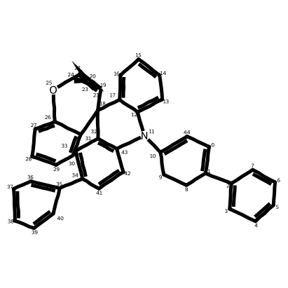 C1=C(c2ccccc2)CCC(N2c3ccccc3C3(c4ccccc4Oc4ccccc43)c3cc(-c4ccccc4)ccc32)=C1